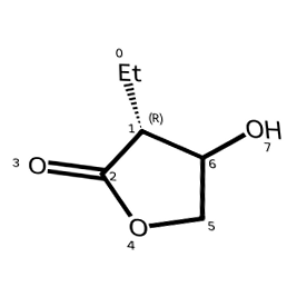 CC[C@H]1C(=O)OCC1O